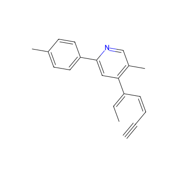 C#C/C=C\C(=C/C)c1cc(-c2ccc(C)cc2)ncc1C